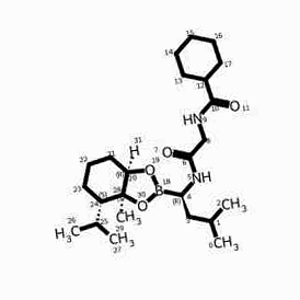 CC(C)C[C@H](NC(=O)CNC(=O)C1CCCCC1)B1O[C@@H]2CCC[C@@H](C(C)C)[C@]2(C)O1